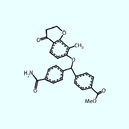 COC(=O)c1ccc(C(Oc2ccc3c(c2C)OCCC3=O)c2ccc(C(N)=O)cc2)cc1